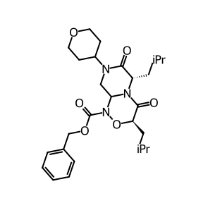 CC(C)C[C@H]1ON(C(=O)OCc2ccccc2)C2CN(C3CCOCC3)C(=O)[C@H](CC(C)C)N2C1=O